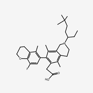 CCC(CCC(C)(C)C)N1CCc2c(C)c(CC(=O)O)c(-c3cc(F)c4c(c3C)CCCO4)c(C)c2C1